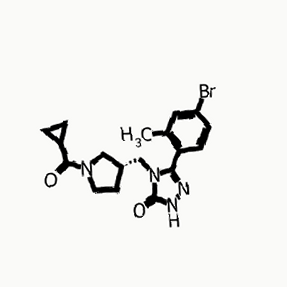 Cc1cc(Br)ccc1-c1n[nH]c(=O)n1C[C@@H]1CCN(C(=O)C2CC2)C1